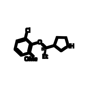 CC[C@H](Oc1c(Cl)cccc1OC)C1CCNC1